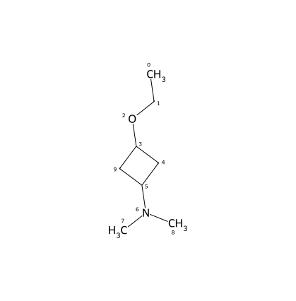 CCOC1CC(N(C)C)C1